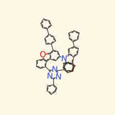 c1ccc(-c2ccc(-c3cc(-n4c5ccccc5c5ccc(-c6ccccc6)cc54)cc4c3oc3cccc(-c5nc(-c6ccccc6)nc(-c6ccccc6)n5)c34)cc2)cc1